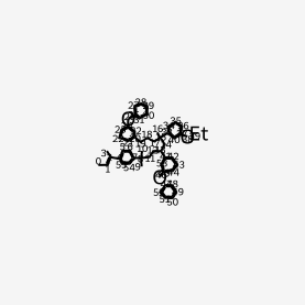 CC=C(C)c1ccc(C(C)(C)CCC(CC(C)(CCCc2cccc(Oc3ccccc3)c2)c2cccc(OCC)c2)c2cccc(Oc3ccccc3)c2)cc1